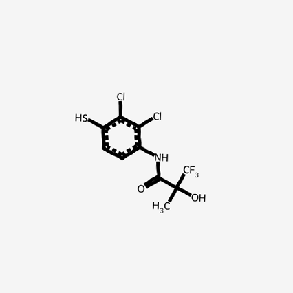 CC(O)(C(=O)Nc1ccc(S)c(Cl)c1Cl)C(F)(F)F